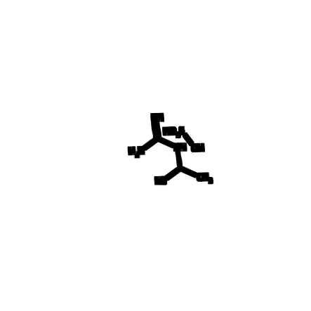 CC(S)NC(=N)N.O=S(=O)(O)O